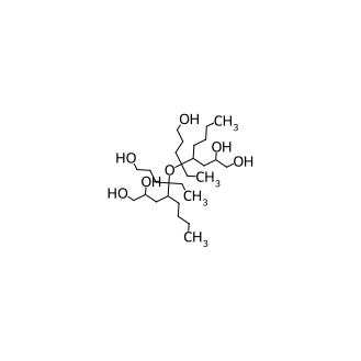 CCCCC(CC(O)CO)C(CC)(CCCO)OC(CC)(CCCO)C(CCCC)CC(O)CO